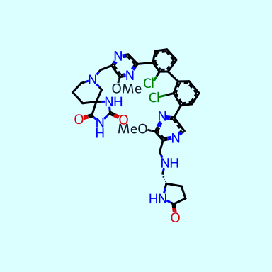 COc1nc(-c2cccc(-c3cccc(-c4cnc(CN5CCCC6(C5)NC(=O)NC6=O)c(OC)n4)c3Cl)c2Cl)cnc1CNC[C@@H]1CCC(=O)N1